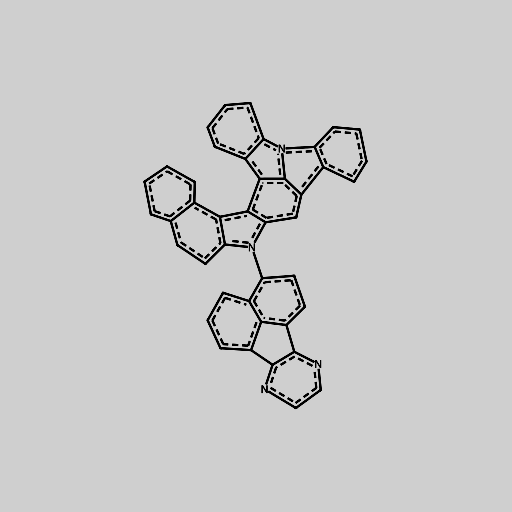 c1ccc2c(c1)ccc1c2c2c3c4ccccc4n4c5ccccc5c(cc2n1-c1ccc2c5c(cccc15)-c1nccnc1-2)c34